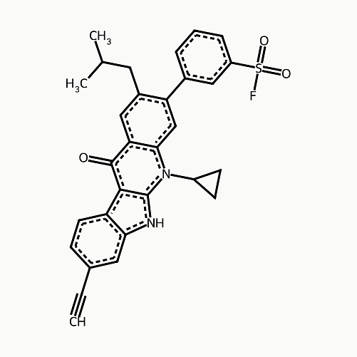 C#Cc1ccc2c(c1)[nH]c1c2c(=O)c2cc(CC(C)C)c(-c3cccc(S(=O)(=O)F)c3)cc2n1C1CC1